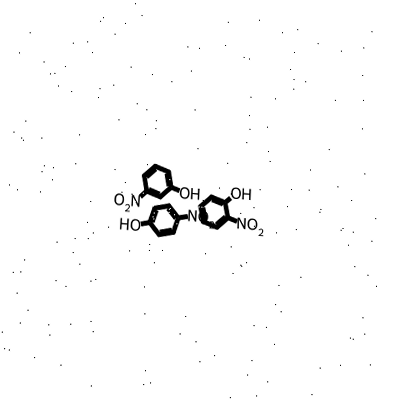 O=[N+]([O-])c1ccc(O)cc1.O=[N+]([O-])c1cccc(O)c1.O=[N+]([O-])c1ccccc1O